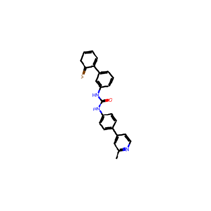 Cc1cc(-c2ccc(NC(=O)Nc3cccc(C4=CC=CCC4=S)c3)cc2)ccn1